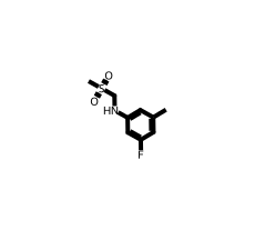 Cc1cc(F)cc(NCS(C)(=O)=O)c1